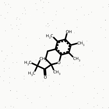 Cc1c(C)c2c(c(C)c1O)CCC(C)(C(=O)C(C)(C)C)O2